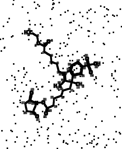 CCOC(=O)CCCCC[N+]1=C(C)C(C)(CCCCCC(=O)ON2C(=O)CCC2=O)c2cc(S(=O)(=O)O)ccc21